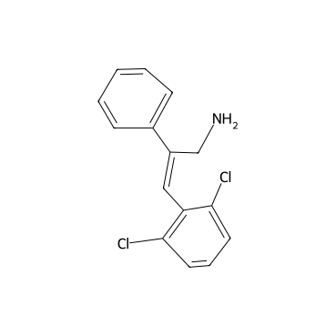 NCC(=Cc1c(Cl)cccc1Cl)c1ccccc1